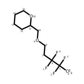 FC(F)(F)C(F)(F)C(F)(F)CCOCC1CCCCO1